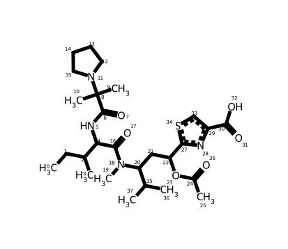 CCC(C)C(NC(=O)C(C)(C)N1CCCC1)C(=O)N(C)C(CC(OC(C)=O)c1nc(C(=O)O)cs1)C(C)C